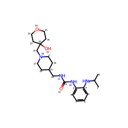 CC(C)Nc1ccccc1NC(=O)NCC1CCN(CC2(O)CCOCC2)CC1